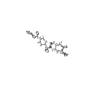 CC(C)(C)OC(=O)c1ccc(C(=O)N2Cc3cc(Br)ccc3C=N2)cc1